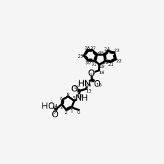 CC1=CC(C(=O)O)=CCC1NC(=O)CNC(=O)OCC1c2ccccc2-c2ccccc21